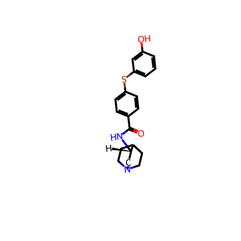 O=C(N[C@H]1CN2CCC1CC2)c1ccc(Sc2cccc(O)c2)cc1